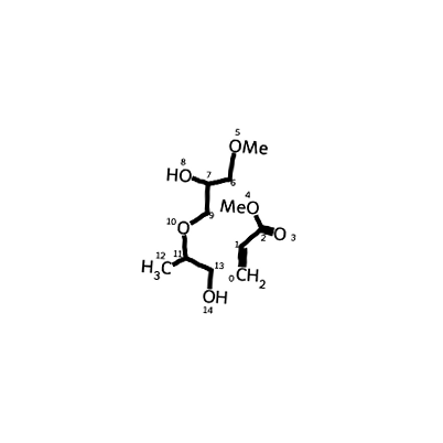 C=CC(=O)OC.COCC(O)COC(C)CO